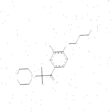 CC(C)(C(=O)c1ccc(SCCCS)c(Cl)c1)N1CCOCC1